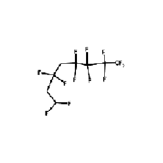 F[C](F)CC(F)(F)CC(F)(F)C(F)(F)C(F)(F)C(F)(F)F